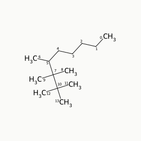 CCCCCC(C)C(C)(C)C(C)(C)C